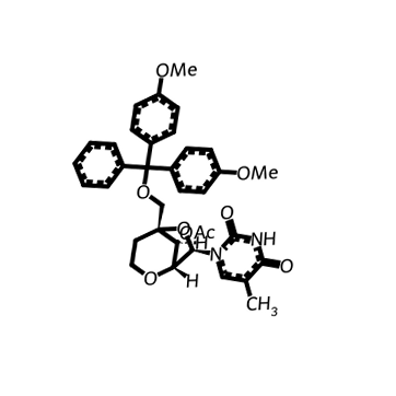 COc1ccc(C(OC[C@@]23CCO[C@@H]([C@H](n4cc(C)c(=O)[nH]c4=O)O2)[C@@H]3OC(C)=O)(c2ccccc2)c2ccc(OC)cc2)cc1